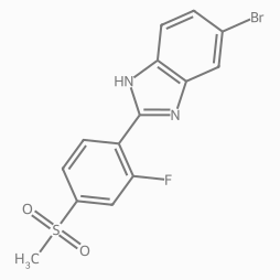 CS(=O)(=O)c1ccc(-c2nc3cc(Br)ccc3[nH]2)c(F)c1